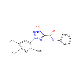 COc1cc([N+](=O)[O-])c(S(=O)(=O)O)cc1-n1nnc(C(=O)Nc2ccccc2)n1.O